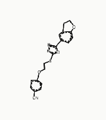 N#Cc1ccc(OCCSc2nnc(-c3ccc4c(c3)CCO4)o2)cc1